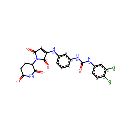 O=C1CCC(N2C(=O)C=C(Nc3cccc(NC(=O)Nc4ccc(Cl)c(Cl)c4)c3)C2=O)C(=O)N1